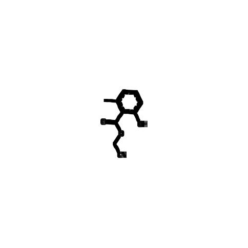 Cc1cccc(O)c1C(=O)OCC#N